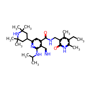 CCc1c(C)[nH]c(=O)c(CNC(=O)c2cc(C3CC(C)(C)NC(C)(C)C3)nc(NC(C)C)c2C=N)c1C